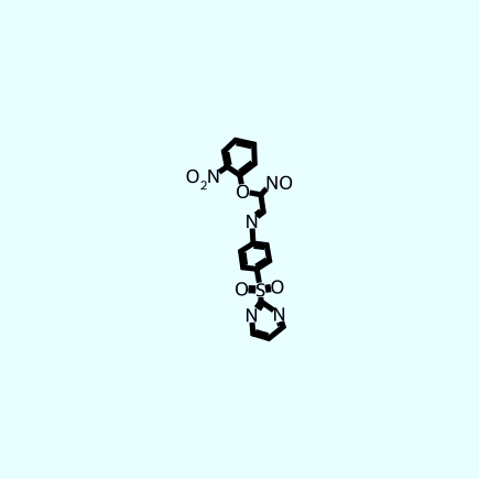 O=NC(C=Nc1ccc(S(=O)(=O)c2ncccn2)cc1)Oc1ccccc1[N+](=O)[O-]